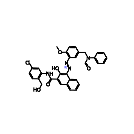 COc1ccc(CN(C=O)c2ccccc2)cc1/N=N/c1c(O)c(C(=O)Nc2cc(Cl)ccc2CO)cc2ccccc12